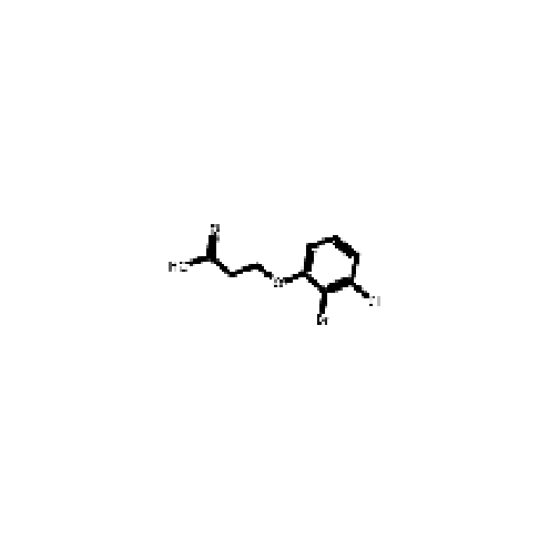 O=C(O)CCOc1cccc(Cl)c1Br